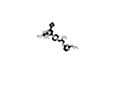 CSc1nccc(OC[C@H](C)CN2CCN(c3cc(C4CCC4)nc(C(C)(C)C)n3)CC2)n1